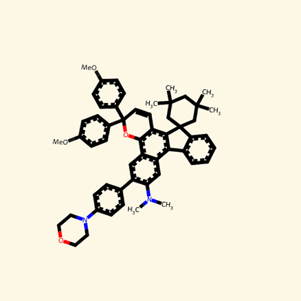 COc1ccc(C2(c3ccc(OC)cc3)C=Cc3c4c(c5cc(N(C)C)c(-c6ccc(N7CCOCC7)cc6)cc5c3O2)-c2ccccc2C42CC(C)(C)CC(C)(C)C2)cc1